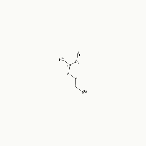 CCCCCCCB(O)OCC